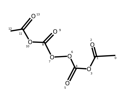 CC(=O)OC(=O)OOC(=O)OC(C)=O